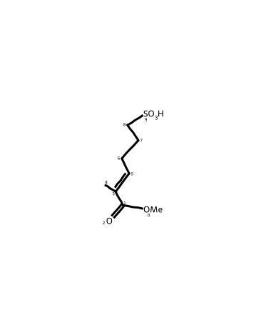 COC(=O)C(C)=CCCCS(=O)(=O)O